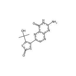 CC(C)(O)c1sc(=O)sc1-c1cnc2nc(N)[nH]c(=O)c2n1